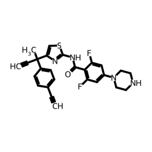 C#Cc1ccc(C(C)(C#C)c2csc(NC(=O)c3c(F)cc(N4CCNCC4)cc3F)n2)cc1